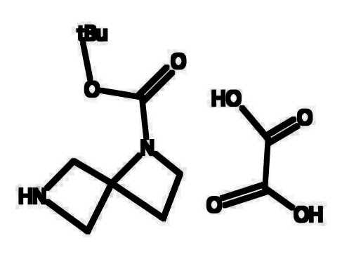 CC(C)(C)OC(=O)N1CCC12CNC2.O=C(O)C(=O)O